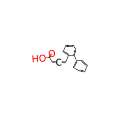 O=C(O)C=C=Cc1ccccc1-c1ccccc1